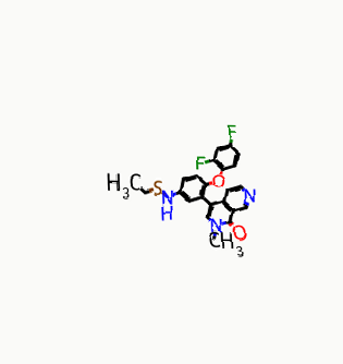 CCSNc1ccc(Oc2ccc(F)cc2F)c(-c2cn(C)c(=O)c3cnccc23)c1